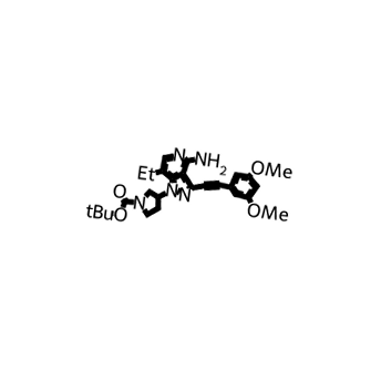 CCc1cnc(N)c2c(C#Cc3cc(OC)cc(OC)c3)nn(C3CCN(C(=O)OC(C)(C)C)C3)c12